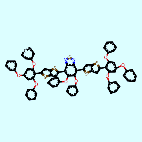 c1ccc(Oc2cc(Oc3ccccc3)c(-c3cc4sc(-c5c(Oc6ccccc6)c(Oc6ccccc6)c(-c6cc7sc(-c8c(Oc9ccccc9)cc(Oc9ccccc9)cc8Oc8ccccc8)cc7s6)c6nsnc56)cc4s3)c(Oc3ccccc3)c2)cc1